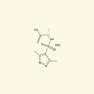 Cc1noc(C)c1S(=O)(=O)N[C@@H](C)C(=O)O.Cl